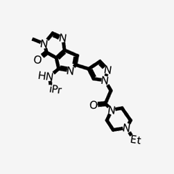 CCN1CCN(C(=O)Cn2cc(-c3cc4ncn(C)c(=O)c4c(NC(C)C)n3)cn2)CC1